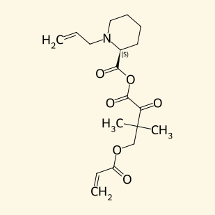 C=CCN1CCCC[C@H]1C(=O)OC(=O)C(=O)C(C)(C)COC(=O)C=C